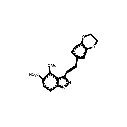 COc1c(C(=O)O)ccc2[nH]nc(C=Cc3ccc4c(c3)OCCO4)c12